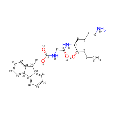 CCCC(=O)[C@H](CCCCN)NC(=O)CNC(=O)OCC1c2ccccc2-c2ccccc21